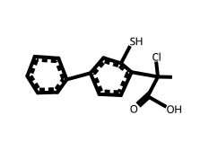 CC(Cl)(C(=O)O)c1ccc(-c2ccccc2)cc1S